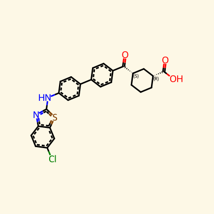 O=C(O)[C@@H]1CCC[C@H](C(=O)c2ccc(-c3ccc(Nc4nc5ccc(Cl)cc5s4)cc3)cc2)C1